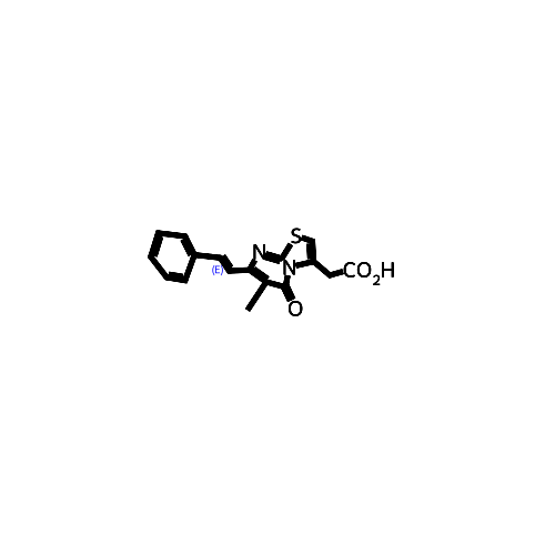 Cc1c(/C=C/c2ccccc2)nc2scc(CC(=O)O)n2c1=O